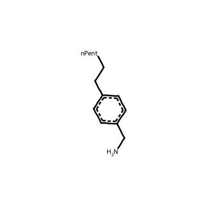 CCCCCCCc1ccc(CN)cc1